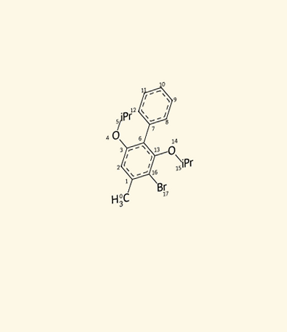 Cc1cc(OC(C)C)c(-c2ccccc2)c(OC(C)C)c1Br